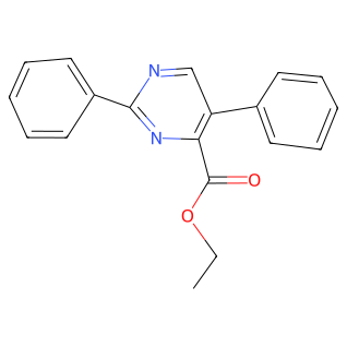 CCOC(=O)c1nc(-c2ccccc2)ncc1-c1ccccc1